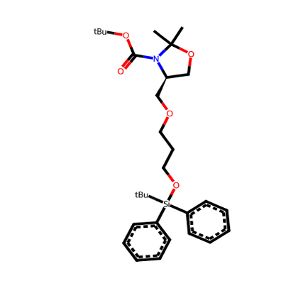 CC(C)(C)OC(=O)N1[C@H](COCCCO[Si](c2ccccc2)(c2ccccc2)C(C)(C)C)COC1(C)C